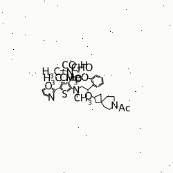 COc1ccccc1C(CN(C)c1sc(-c2ncco2)c(C)c1C(=O)N(C=O)C(C)(C)C(=O)O)OC1CC2(CCN(C(C)=O)CC2)C1